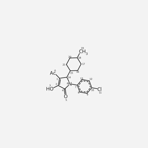 CC(=O)C1=C(O)C(=O)N(c2ccc(Cl)cc2)C1C1CCC(C)CC1